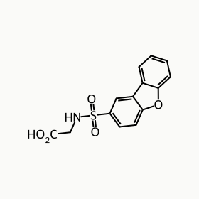 O=C(O)CNS(=O)(=O)c1ccc2oc3ccccc3c2c1